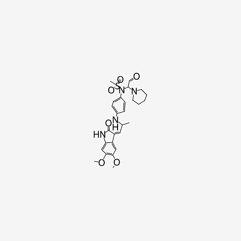 COc1cc2c(cc1OC)C(=CC(C)Nc1ccc(N(C(C=O)N3CCCCC3)S(C)(=O)=O)cc1)C(=O)N2